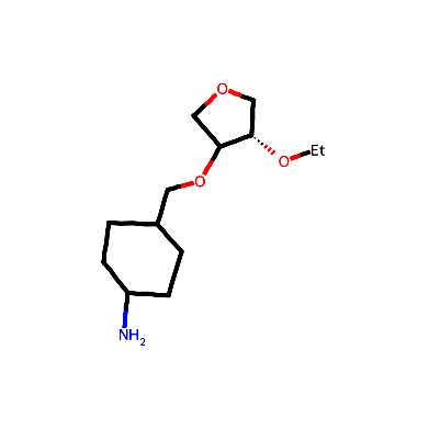 CCO[C@H]1COCC1OCC1CCC(N)CC1